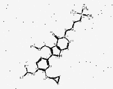 CC(C)OCc1c(-c2ccc(OC(F)F)c(OC3CC3)c2)[nH]c2cnn(COCC[Si](C)(C)C)c(=O)c12